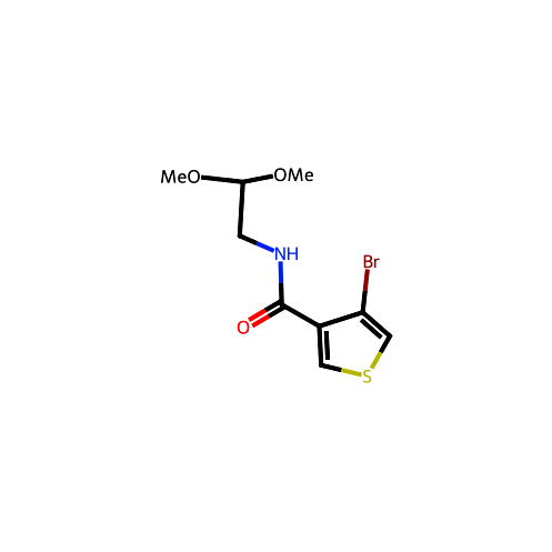 COC(CNC(=O)c1cscc1Br)OC